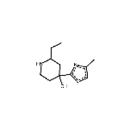 CCC1CC(O)(c2nc(C)cs2)CCN1